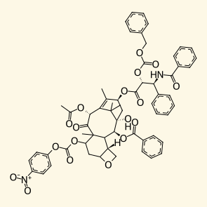 CC(=O)O[C@H]1C(=O)C2(C)C(OC(=O)Oc3ccc([N+](=O)[O-])cc3)CC3OC[C@H]3C2[C@H](OC(=O)c2ccccc2)[C@]2(O)C[C@H](OC(=O)[C@H](OC(=O)OCc3ccccc3)[C@@H](NC(=O)c3ccccc3)c3ccccc3)C(C)=C1C2(C)C